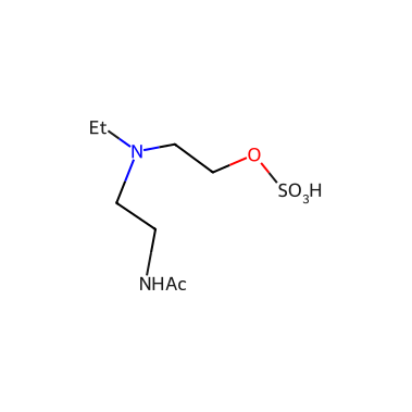 CCN(CCNC(C)=O)CCOS(=O)(=O)O